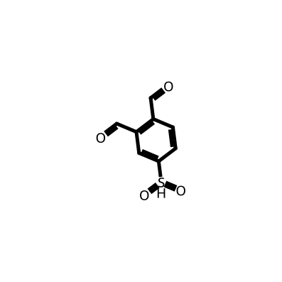 O=Cc1ccc([SH](=O)=O)cc1C=O